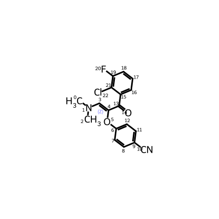 CN(C)/C=C(\Oc1ccc(C#N)cc1)C(=O)c1cccc(F)c1Cl